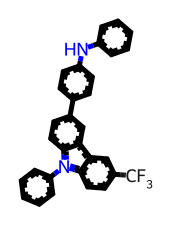 FC(F)(F)c1ccc2c(c1)c1cc(-c3ccc(Nc4ccccc4)cc3)ccc1n2-c1ccccc1